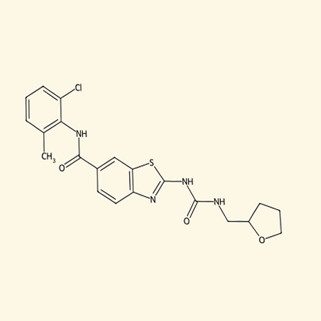 Cc1cccc(Cl)c1NC(=O)c1ccc2nc(NC(=O)NCC3CCCO3)sc2c1